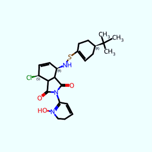 CC(C)(C)[C@H]1CC=C(SN[C@@H]2C=C[C@H](Cl)C3C(=O)N(C4=[N+](O)CCC=C4)C(=O)C32)CC1